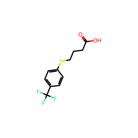 O=C(O)CCCSc1ccc(C(F)(F)F)cc1